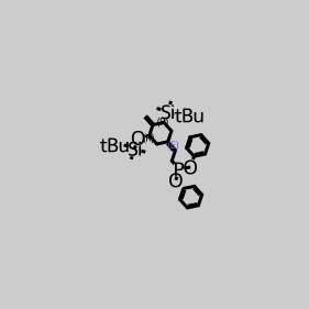 C=C1[C@H]([Si](C)(C)C(C)(C)C)C/C(=C/CP(Oc2ccccc2)Oc2ccccc2)C[C@H]1O[Si](C)(C)C(C)(C)C